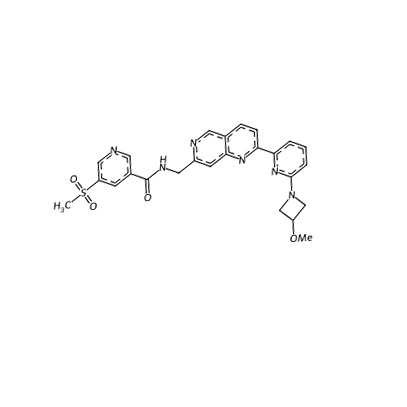 COC1CN(c2cccc(-c3ccc4cnc(CNC(=O)c5cncc(S(C)(=O)=O)c5)cc4n3)n2)C1